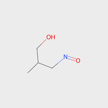 CC(CO)CN=O